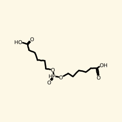 O=C(O)CCCCCO[PH](=O)OCCCCCC(=O)O